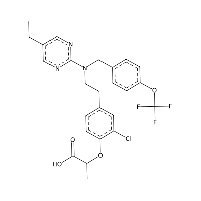 CCc1cnc(N(CCc2ccc(OC(C)C(=O)O)c(Cl)c2)Cc2ccc(OC(F)(F)F)cc2)nc1